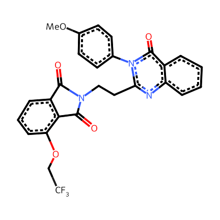 COc1ccc(-n2c(CCN3C(=O)c4cccc(OCC(F)(F)F)c4C3=O)nc3ccccc3c2=O)cc1